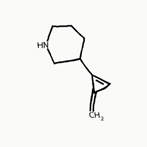 C=C1C=C1C1CCCNC1